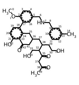 COc1ccc(CNCc2cccc(C)c2)cc1-c1ccc(O)c2c1CC(CC(CCO)C(CO)C(=O)CC(C)=O)CC2=O